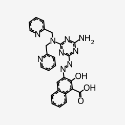 Nc1nc(/N=N/c2cc3ccccc3c(C(=O)O)c2O)nc(N(Cc2ccccn2)Cc2ccccn2)n1